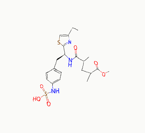 CCc1csc([C@H](Cc2ccc(NS(=O)(=O)O)cc2)NC(=O)C(C)CC(C)C(=O)OC)n1